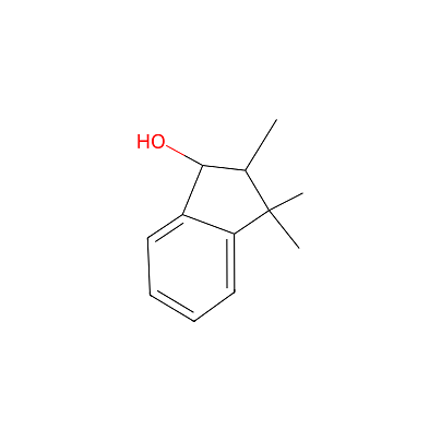 CC1C(O)c2ccccc2C1(C)C